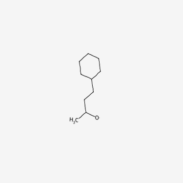 CC([O])CCC1CCCCC1